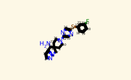 N[C@@H]1c2ccnn2CC12CCN(c1cnc(Sc3cccc(F)c3)cn1)CC2